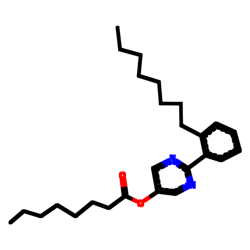 CCCCCCCCc1ccccc1-c1ncc(OC(=O)CCCCCCC)cn1